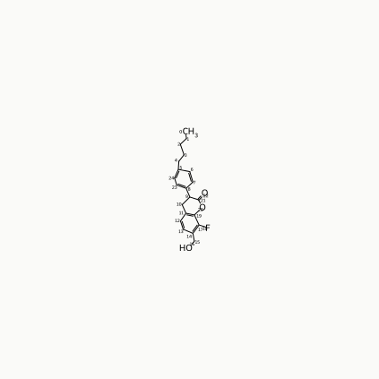 CCCCCc1ccc(C2Cc3ccc(CO)c(F)c3OC2=O)cc1